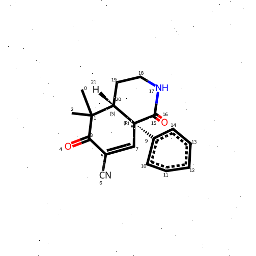 CC1(C)C(=O)C(C#N)=C[C@]2(c3ccccc3)C(=O)NCC[C@@H]12